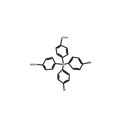 CCCCCCc1ccc([Si](c2ccc(Br)cc2)(c2ccc(Br)cc2)c2ccc(CCCCCC)cc2)cc1